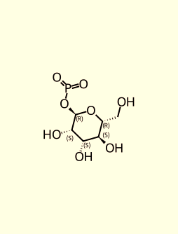 O=P(=O)O[C@H]1O[C@H](CO)[C@@H](O)[C@H](O)[C@@H]1O